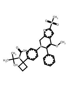 COC1=C(c2ccccc2)N(c2ccc(C3(N(C(=O)O)C(C)(C)C)CCC3)cc2)Cc2oc(S(C)(=O)=O)cc21